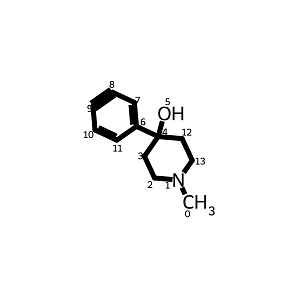 CN1CCC(O)(c2cc#ccc2)CC1